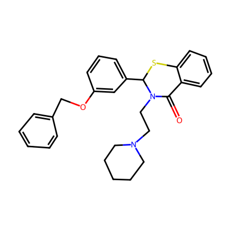 O=C1c2ccccc2SC(c2cccc(OCc3ccccc3)c2)N1CCN1CCCCC1